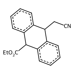 CCOC(=O)C1c2ccccc2C(CC#N)c2ccccc21